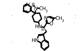 Cc1cnc([C@@H](Cc2c[nH]c3ccccc23)NC2CCC(c3ccccc3)(N(C)C)CC2)o1